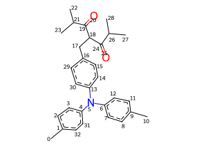 Cc1ccc(N(c2ccc(C)cc2)c2ccc(CC(C(=O)C(C)C)C(=O)C(C)C)cc2)cc1